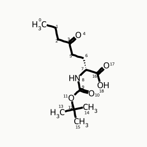 CCCC(=O)CC[C@@H](NC(=O)OC(C)(C)C)C(=O)O